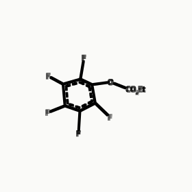 CCOC(=O)Oc1c(F)c(F)c(F)c(F)c1F